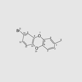 Cc1ccc2c(c1)Oc1cc(Br)ccc1O2